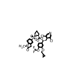 CN1C(=O)Cc2cc(S(=O)(=O)N3CCC[C@H]3C(=O)O[C@@H](Cc3c(Cl)cncc3Cl)c3ccc(OC(F)F)c(OCC4CC4)c3)ccc21